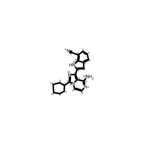 N#Cc1cccc2cc(-c3nc(C4CCCCC4)n4ccnc(N)c34)[nH]c12